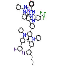 CCCCc1cc(I)cc(-c2ccc3c(c2)B2c4cc(-c5cc(I)cc(I)c5)ccc4N(c4ccccc4)c4cc(-c5ccc6c(c5)c5ccc(-c7nc(-c8ccccc8)nc(-c8ccccc8)n7)cc5n6-c5ccc(C(F)(F)F)cc5-c5nc(-c6ccccc6)nc(-c6ccccc6)n5)cc(c42)N3c2ccccc2)c1